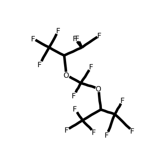 FC(F)(OC(C(F)(F)F)C(F)(F)F)OC(C(F)(F)F)C(F)(F)F